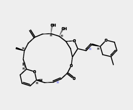 C=C1C[C@H](C)C[C@@H]2CC=C[C@@H](C/C=C\C(=O)OC3CC(OC3/C=C/[C@@H]3CC(C)=CCO3)[C@@H](O)[C@@H](O)C1)O2